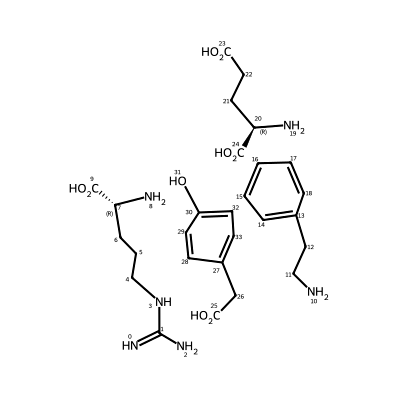 N=C(N)NCCC[C@@H](N)C(=O)O.NCCc1ccccc1.N[C@H](CCC(=O)O)C(=O)O.O=C(O)Cc1ccc(O)cc1